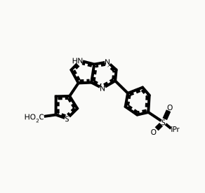 CC(C)S(=O)(=O)c1ccc(-c2cnc3[nH]cc(-c4csc(C(=O)O)c4)c3n2)cc1